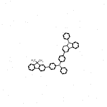 CC1(C)c2ccccc2-c2ccc(-c3ccc(N(c4ccccc4)c4ccc(C5=CCC6C(=C5)c5ccccc5N6c5ccccc5)cc4)cc3)cc21